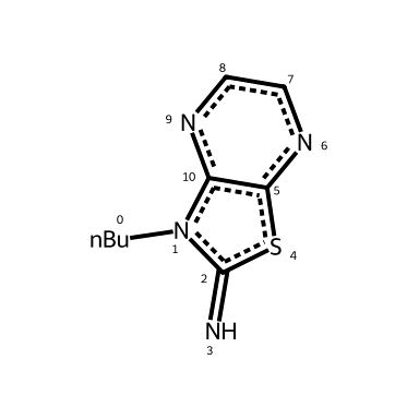 CCCCn1c(=N)sc2nccnc21